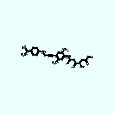 COC(=O)CN(C(=O)CC(=O)Nc1cc(C)c(C#CCNc2ccc(C(=N)N)cc2)cc1C)C(C)C